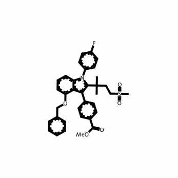 COC(=O)c1ccc(-c2c(C(C)(C)CCS(C)(=O)=O)n(-c3ccc(F)cc3)c3cccc(OCc4ccccc4)c23)cc1